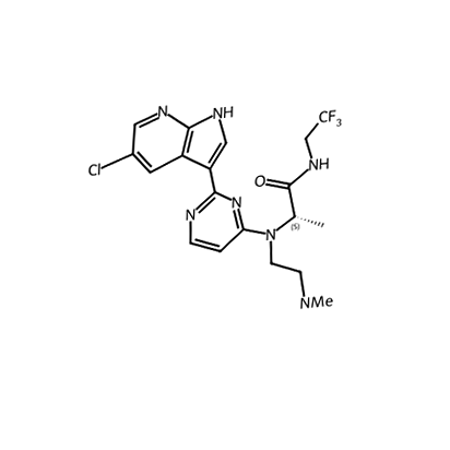 CNCCN(c1ccnc(-c2c[nH]c3ncc(Cl)cc23)n1)[C@@H](C)C(=O)NCC(F)(F)F